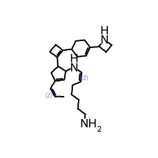 C/C=C\C1=CC(N/C=C\CCCCCN)C(C2=C(C3CC=C(C4CCN4)CC3)CC2)C1